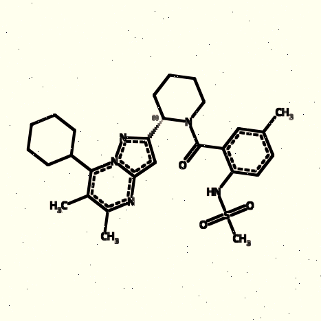 Cc1ccc(NS(C)(=O)=O)c(C(=O)N2CCCC[C@H]2c2cc3nc(C)c(C)c(C4CCCCC4)n3n2)c1